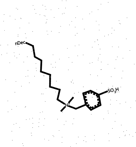 CCCCCCCCCCCCCCCCCC[N+](C)(C)Cc1ccc(S(=O)(=O)O)cc1